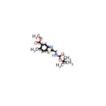 COC(=O)c1cc2nc(CNC(=O)OC(C)(C)C)sc2cc1C